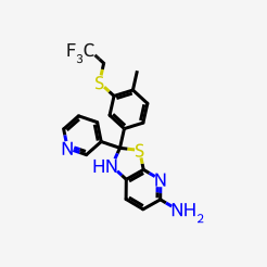 Cc1ccc(C2(c3cccnc3)Nc3ccc(N)nc3S2)cc1SCC(F)(F)F